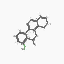 [CH2]C1Cc2c(ccc3c2CCC=C3)-c2cccc(F)c21